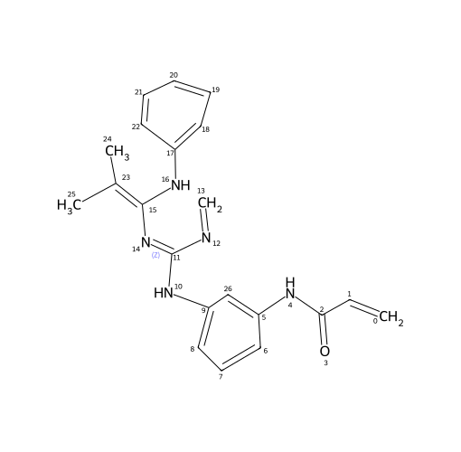 C=CC(=O)Nc1cccc(N/C(N=C)=N/C(Nc2ccccc2)=C(C)C)c1